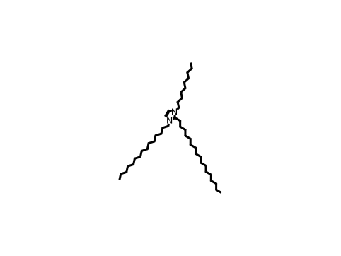 CCCCCCCCCCCCCCCCCc1n(CCCCCCCCCC)cc[n+]1CCCCCCCCCCCCCCC